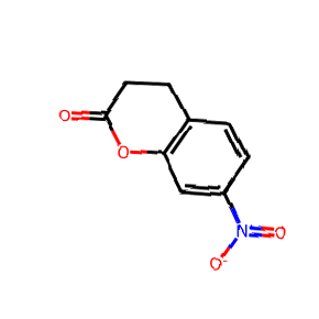 O=C1CCc2ccc([N+](=O)[O-])cc2O1